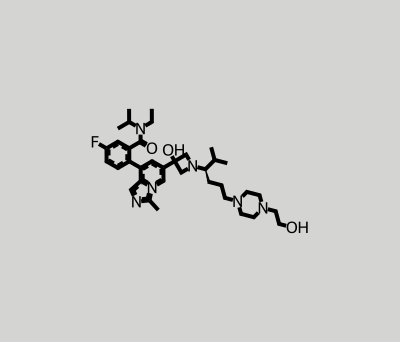 CCN(C(=O)c1cc(F)ccc1-c1cc(C2(O)CN([C@H](CCCN3CCN(CCO)CC3)C(C)C)C2)cn2c(C)ncc12)C(C)C